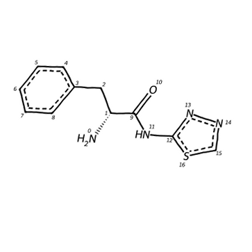 N[C@H](Cc1ccccc1)C(=O)Nc1nncs1